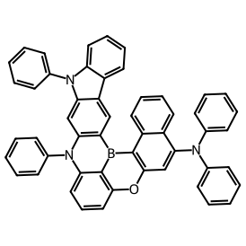 c1ccc(N2c3cc4c(cc3B3c5c(cccc52)Oc2cc(N(c5ccccc5)c5ccccc5)c5ccccc5c23)c2ccccc2n4-c2ccccc2)cc1